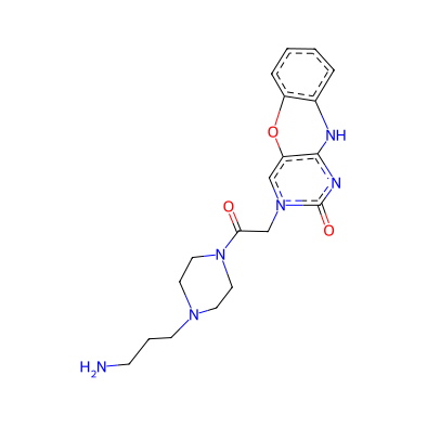 NCCCN1CCN(C(=O)Cn2cc3c(nc2=O)Nc2ccccc2O3)CC1